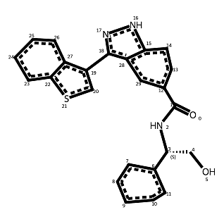 O=C(N[C@H](CO)c1ccccc1)c1ccc2[nH]nc(-c3csc4ccccc34)c2c1